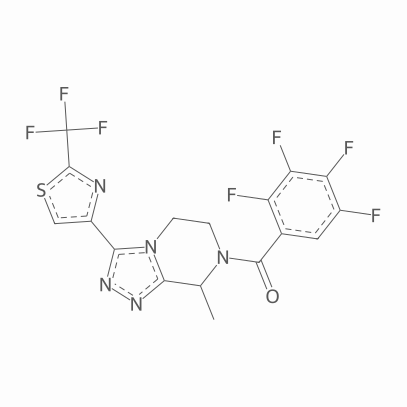 CC1c2nnc(-c3csc(C(F)(F)F)n3)n2CCN1C(=O)c1cc(F)c(F)c(F)c1F